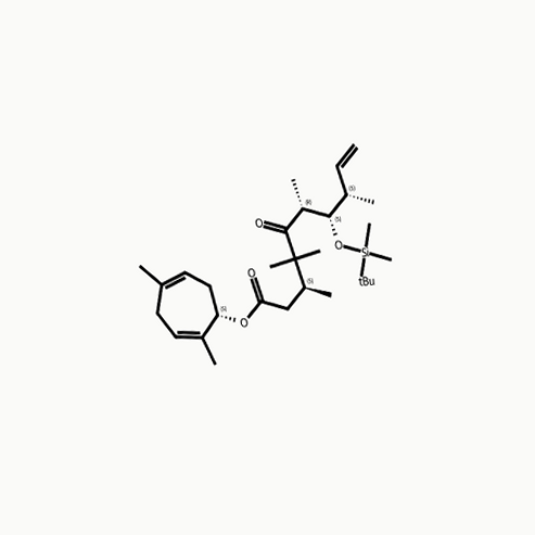 C=C[C@H](C)[C@H](O[Si](C)(C)C(C)(C)C)[C@@H](C)C(=O)C(C)(C)[C@@H](C)CC(=O)O[C@H]1CC=C(C)CC=C1C